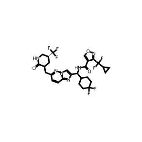 O=C(NC(c1cn2nc(CC3C[C@@H](C(F)(F)F)CNC3=O)ccc2n1)C1CCC(F)(F)CC1)c1conc1C(F)(F)C1CC1